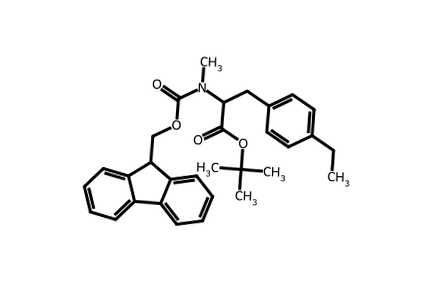 CCc1ccc(CC(C(=O)OC(C)(C)C)N(C)C(=O)OCC2c3ccccc3-c3ccccc32)cc1